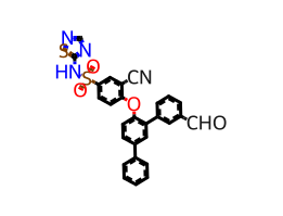 N#Cc1cc(S(=O)(=O)Nc2ncns2)ccc1Oc1ccc(-c2ccccc2)cc1-c1cccc(C=O)c1